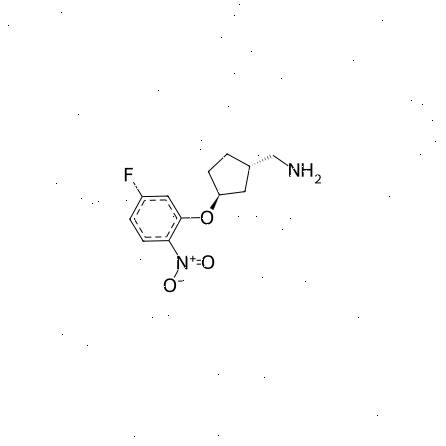 NC[C@H]1CC[C@H](Oc2cc(F)ccc2[N+](=O)[O-])C1